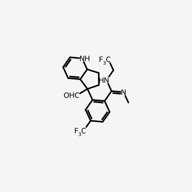 C/N=C(/NCC(F)(F)F)c1ccc(C(F)(F)F)cc1C1(C=O)CCC2NC=CC=C21